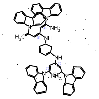 C=C(/C=C(\C=C(/N)n1c2ccccc2c2ccccc21)NC1C=CC=C(NC(=C/C(CC)n2c3ccccc3c3ccccc32)/C=C(\N)n2c3ccccc3c3ccccc32)C1)n1c2ccccc2c2ccccc21